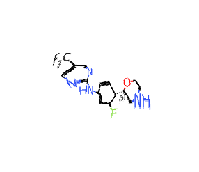 FC1C=C(Nc2ncc(C(F)(F)F)cn2)C=CC1[C@H]1CNCCO1